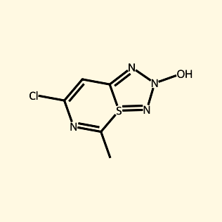 CC1=NC(Cl)=CC2=NN(O)N=S12